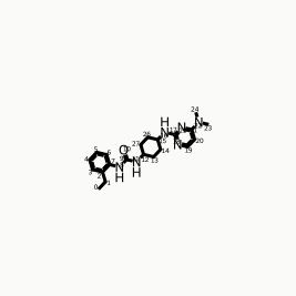 CCc1ccccc1NC(=O)NC1CCC(Nc2nccc(N(C)C)n2)CC1